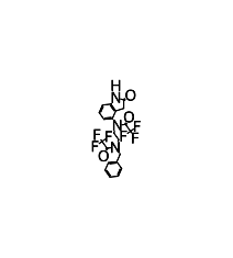 O=C1Cc2c(cccc2N(CCN(Cc2ccccc2)C(=O)C(F)(F)F)C(=O)C(F)(F)F)N1